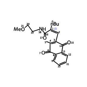 CCCC/C(=C/C1=C(C)C(=O)c2ccccc2C1=O)C(=O)NCCOC